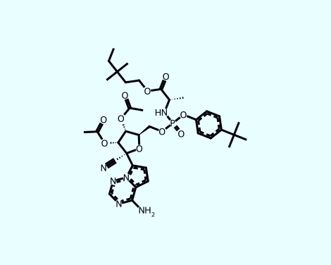 CCC(C)(C)CCOC(=O)[C@H](C)NP(=O)(OC[C@H]1O[C@@](C#N)(c2ccc3c(N)ncnn23)[C@H](OC(C)=O)[C@@H]1OC(C)=O)Oc1ccc(C(C)(C)C)cc1